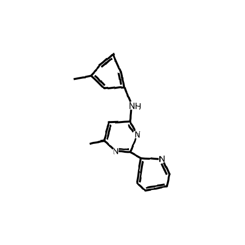 Cc1cccc(Nc2cc(C)nc(-c3ccccn3)n2)c1